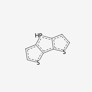 c1cc2[pH]c3ccsc3c2s1